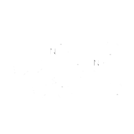 c1ccc(-c2cc(-c3ccccc3)nc(-c3cc(-c4cccnc4)cc(-c4cccc5c4sc4c(-c6cccc7ccccc67)cccc45)c3)c2)cc1